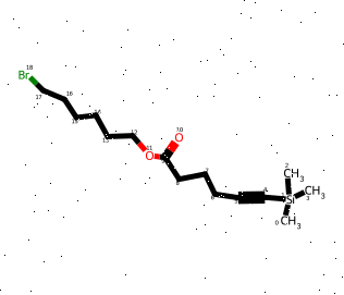 C[Si](C)(C)C#CCCCC(=O)OCCCCCCBr